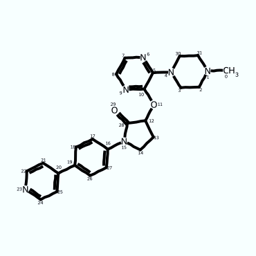 CN1CCN(c2nccnc2OC2CCN(c3ccc(-c4ccncc4)cc3)C2=O)CC1